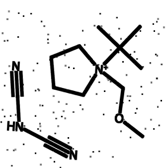 COC[N+]1(C(C)(C)C)CCCC1.N#CNC#N